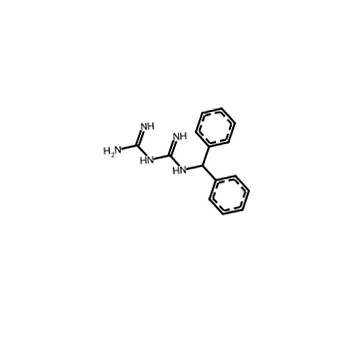 N=C(N)NC(=N)NC(c1ccccc1)c1ccccc1